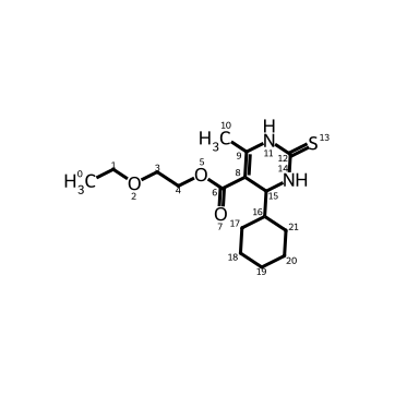 CCOCCOC(=O)C1=C(C)NC(=S)NC1C1CCCCC1